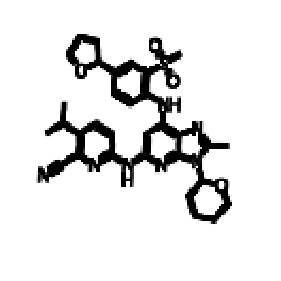 Cc1nc2c(Nc3ccc(C4CCCO4)cc3S(C)(=O)=O)cc(Nc3ccc(C(C)C)c(C#N)n3)nc2n1C1CCCCO1